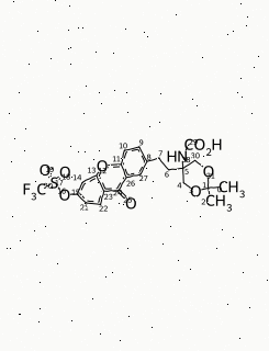 CC1(C)OCC(CCc2ccc3oc4cc(OS(=O)(=O)C(F)(F)F)ccc4c(=O)c3c2)(NC(=O)O)CO1